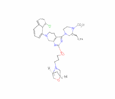 N#CC[C@H]1CN(c2nc(OCCCN3C[C@@H]4C[C@H]3CO4)nc3c2CCN(c2cccc4cccc(Cl)c24)C3)CCN1C(=O)O